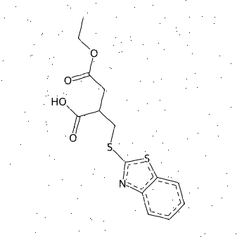 CCOC(=O)CC(CSc1nc2ccccc2s1)C(=O)O